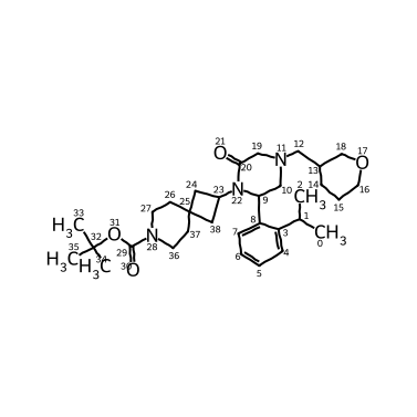 CC(C)c1ccccc1C1CN(CC2CCCOC2)CC(=O)N1C1CC2(CCN(C(=O)OC(C)(C)C)CC2)C1